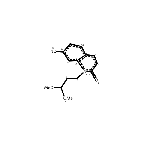 COC(CCn1c(=O)ccc2ccc(C#N)cc21)OC